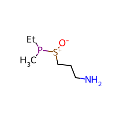 CCP(C)[S+]([O-])CCCN